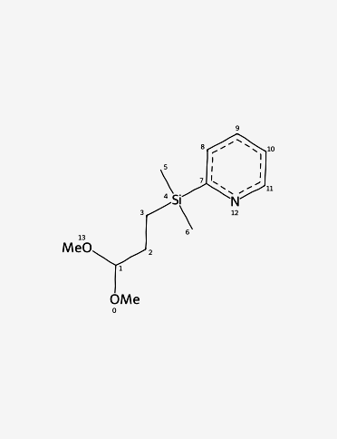 COC(CC[Si](C)(C)c1ccccn1)OC